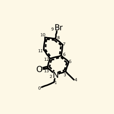 CCn1c(C)cc2cc(Br)ccc2c1=O